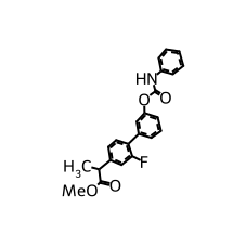 COC(=O)C(C)c1ccc(-c2cccc(OC(=O)Nc3ccccc3)c2)c(F)c1